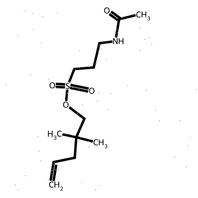 C=CCC(C)(C)COS(=O)(=O)CCCNC(C)=O